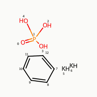 O=P(O)(O)O.[KH].[KH].c1ccccc1